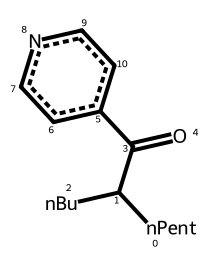 CCCCCC(CCCC)C(=O)c1ccncc1